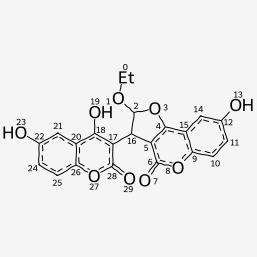 CCOC1Oc2c(c(=O)oc3ccc(O)cc23)C1c1c(O)c2cc(O)ccc2oc1=O